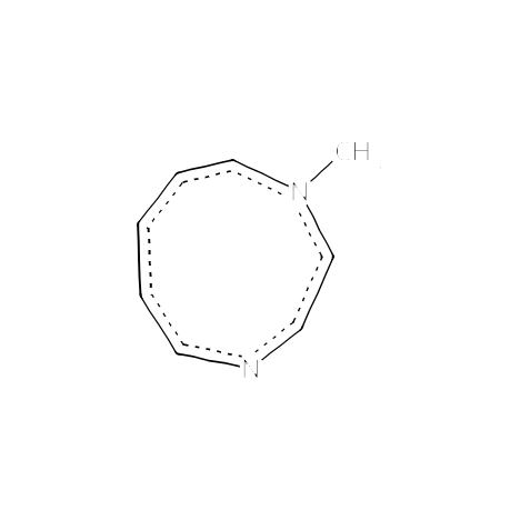 Cn1cccccncc1